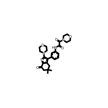 CC1(C)CC(=O)c2sc(N3CCOCC3)c(-c3cccc(NC(=O)C(=O)N4CCOCC4)c3)c2C1